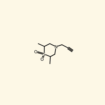 C#CCN1CC(C)S(=O)(=O)C(C)C1